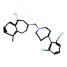 Cc1cccc2c1CC[C@H](CN1CCC(c3c(Cl)cccc3Cl)CC1)C[C@H]2O